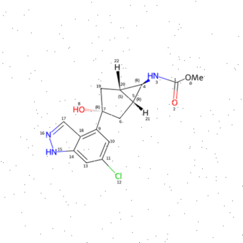 COC(=O)N[C@H]1[C@@H]2C[C@@](O)(c3cc(Cl)cc4[nH]ncc34)C[C@@H]21